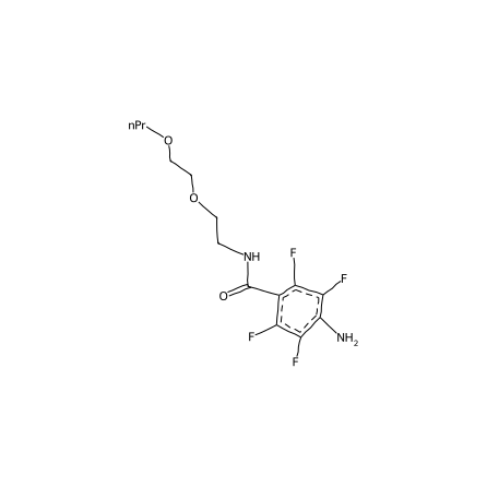 CCCOCCOCCNC(=O)c1c(F)c(F)c(N)c(F)c1F